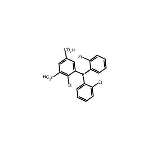 CCc1ccccc1B(c1ccccc1CC)c1cc(C(=O)O)cc(C(=O)O)c1CC